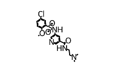 COc1ccc(Cl)cc1S(=O)(=O)Nc1cncc(C(=O)NCCN(C)C)c1